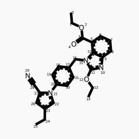 CCOC(=O)c1cccc2nc(OCC)n(Cc3ccc(-n4cc(CC)cc4C#N)cc3)c12